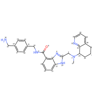 CN(Cc1nc2c(C(=O)NCc3ccc(CN)cc3)cccc2[nH]1)C1CCCc2cccnc21